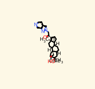 COCC[C@]12CC[C@@](C)(O)C[C@@H]1CC[C@H]1[C@@H]3CC[C@H](C(=O)Cn4cc5ccncc5n4)[C@@]3(C)CC[C@@H]12